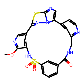 COc1ncc2cc1NS(=O)(=O)c1cccc(c1)C(=O)NCc1cc(ccn1)-c1cnc3sc-2nn13